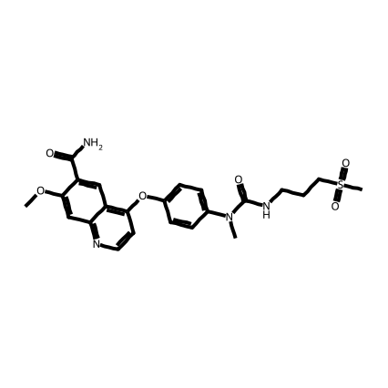 COc1cc2nccc(Oc3ccc(N(C)C(=O)NCCCS(C)(=O)=O)cc3)c2cc1C(N)=O